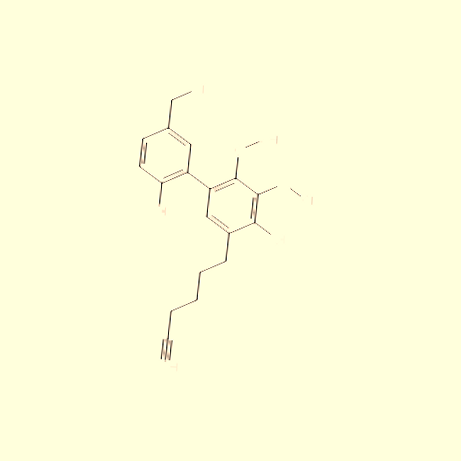 C#CCCCCc1cc(-c2cc(CC)ccc2O)c(OC)c(OC)c1O